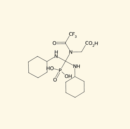 O=C(O)CN(C(=O)C(F)(F)F)C(NC1CCCCC1)(NC1CCCCC1)P(=O)(O)O